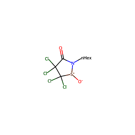 CCCCCCN1C(=O)C(Cl)(Cl)C(Cl)(Cl)[S+]1[O-]